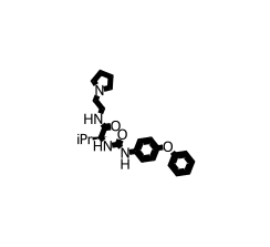 CC(C)[C@H](NC(=O)Nc1ccc(Oc2ccccc2)cc1)C(=O)NCCN1CCCC1